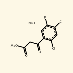 COC(=O)CC(=O)c1cc(F)c(Cl)cc1Cl.[NaH]